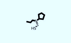 CCCN(SS)C1CCCC1